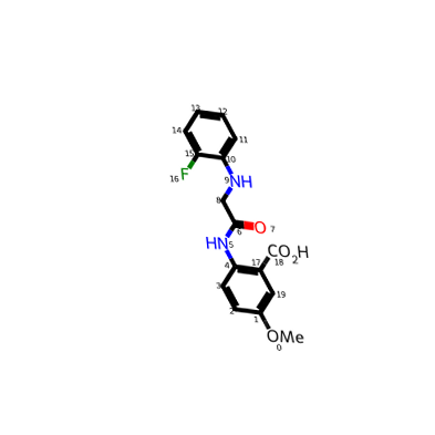 COc1ccc(NC(=O)CNc2ccccc2F)c(C(=O)O)c1